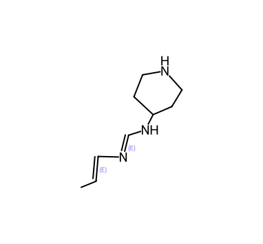 C/C=C/N=C/NC1CCNCC1